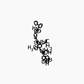 CC#Cc1cc(CNC[C@H](O)c2ccc(O)c3[nH]c(=O)ccc23)c(OC)cc1NC(=O)CCN1CCC(OC(=O)Nc2ccccc2-c2ccccc2)CC1